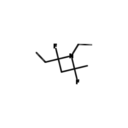 CCN1C(C)(F)CC1(F)CC